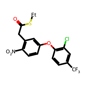 CCSC(=O)Cc1cc(Oc2ccc(C(F)(F)F)cc2Cl)ccc1[N+](=O)[O-]